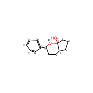 OC12CCCC1CCC(c1ccccc1)O2